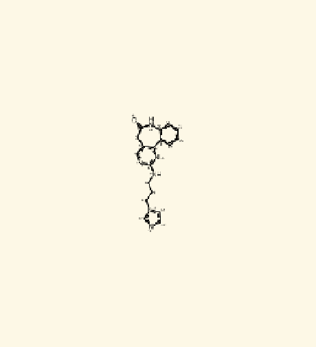 O=C1Cc2cnc(NCCCn3ccnc3)nc2-c2ccccc2N1